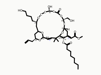 C=CC[C@H]1CC2C[C@@H](CCCCO)OCC[C@@H](O)CC(=O)O[C@@H](CO)C[C@@H]3C/C(=C\C(=O)OC)[C@H](OC(=O)CCCCCCC)[C@@](O)(O3)C(C)(C)/C=C/[C@H](O2)O1